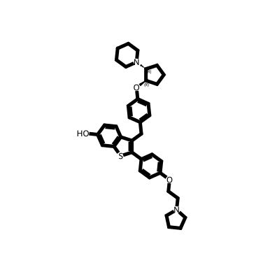 Oc1ccc2c(Cc3ccc(O[C@@H]4CCC[C@H]4N4CCCCC4)cc3)c(-c3ccc(OCCN4CCCC4)cc3)sc2c1